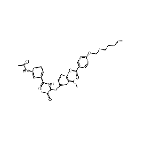 CCCCCCCOc1ccc(C(=O)Oc2ccc(CC(NC(=O)c3cccc(NC(C)=O)c3)C(C)=O)cc2OC)cc1